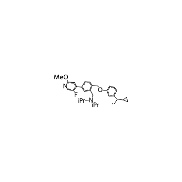 [CH2]C(c1cccc(OCc2ccc(-c3cc(OC)ncc3F)cc2CN(C(C)C)C(C)C)c1)C1CC1